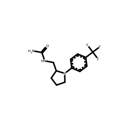 NC(=O)NCC1CCCN1c1ccc(C(F)(F)F)cc1